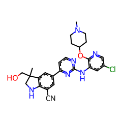 CN1CCC(Oc2ncc(Cl)cc2Nc2nccc(-c3cc(C#N)c4c(c3)C(C)(CO)CN4)n2)CC1